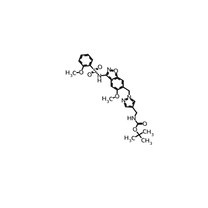 COc1cc2c(NS(=O)(=O)c3ccccc3OC)noc2cc1Cn1cc(CNC(=O)OC(C)(C)C)cn1